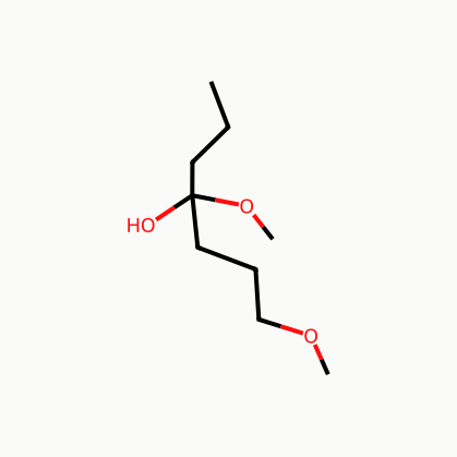 CCCC(O)(CCCOC)OC